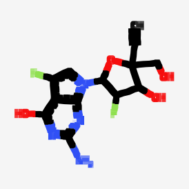 C#CC1(CO)OC(n2cc(F)c3c(O)nc(N)nc32)C(F)C1O